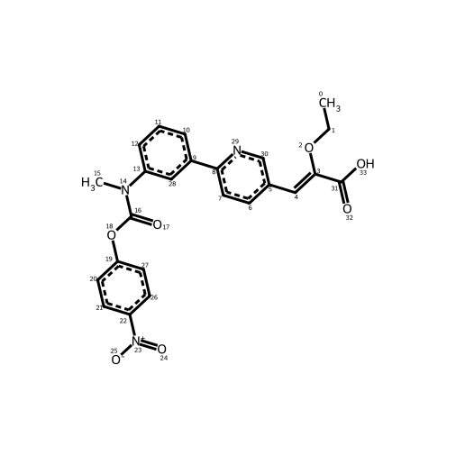 CCO/C(=C\c1ccc(-c2cccc(N(C)C(=O)Oc3ccc([N+](=O)[O-])cc3)c2)nc1)C(=O)O